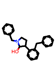 OC1C(c2ccccc2Cc2ccccc2)CCN1Cc1ccccc1